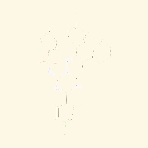 N/C(=N\C(=N\S(=O)(=O)c1ccc(C(F)(F)F)cc1)N1CCC(c2ccccc2)C(c2ccc(F)cc2)=N1)c1ccc(F)cc1F